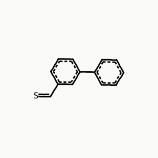 S=Cc1cccc(-c2ccccc2)c1